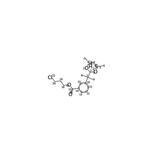 C[SiH2]OC(O[SiH2]C)C(C)(C)c1cccc(C(=O)OCCCCl)c1